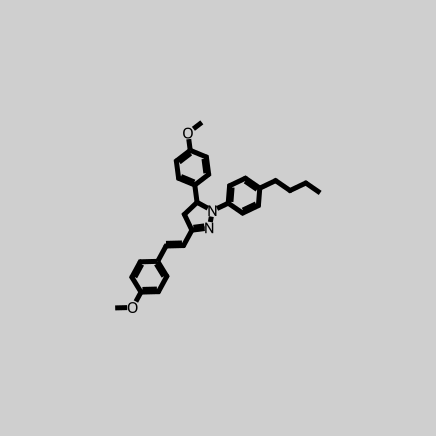 CCCCc1ccc(N2N=C(C=Cc3ccc(OC)cc3)CC2c2ccc(OC)cc2)cc1